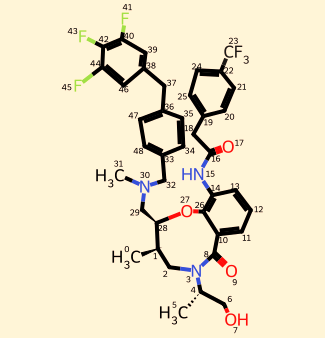 C[C@@H]1CN([C@@H](C)CO)C(=O)c2cccc(NC(=O)Cc3ccc(C(F)(F)F)cc3)c2O[C@@H]1CN(C)Cc1ccc(Cc2cc(F)c(F)c(F)c2)cc1